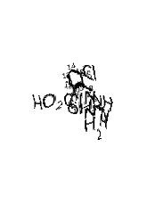 O=C(O)O.[H]/N=C(\N)NN=Cc1c(Cl)cccc1Cl